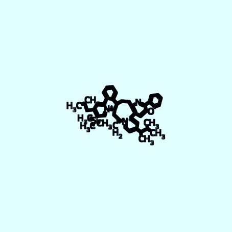 C=C1CC2C(CCc3nc4c(cc3-c3cc(C(C)C(C)C)cc[n+]31)oc1ccccc14)c1ccccc1-c1cc(CC(C)C)c([Si](C)(C)C)c[n+]12